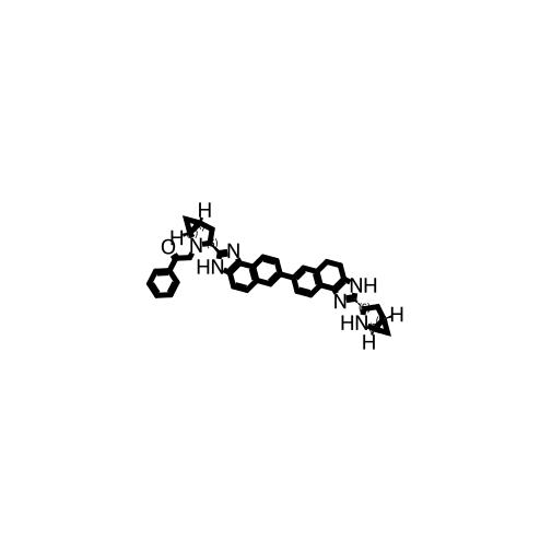 O=C(CN1[C@@H]2C[C@@H]2C[C@H]1c1nc2c(ccc3cc(-c4ccc5c(c4)CCc4[nH]c([C@@H]6C[C@H]7C[C@H]7N6)nc4-5)ccc32)[nH]1)c1ccccc1